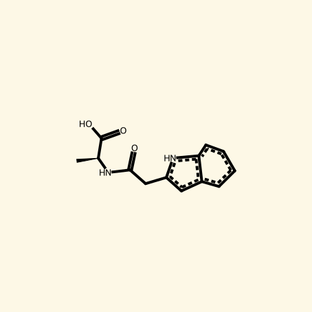 C[C@H](NC(=O)Cc1cc2ccccc2[nH]1)C(=O)O